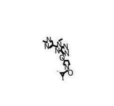 CCn1c(-c2cnc(C)nc2)nc2c(O[C@H]3CCN(C(=O)C4[C@@H](C)[C@@H]4C)C3)ncnc21